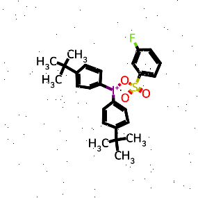 CC(C)(C)c1ccc([I+](OS(=O)(=O)c2cccc(F)c2)c2ccc(C(C)(C)C)cc2)cc1